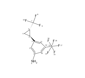 Nc1cc([C@H]2C[C@@H]2C(F)(F)F)cc(S(F)(F)(F)(F)F)c1